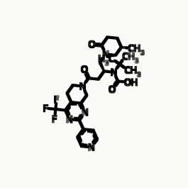 C[C@@H]1CCC(=O)N(C[C@H](CC(=O)N2CCc3c(nc(-c4ccncc4)nc3C(F)(F)F)C2)N(C(=O)O)C(C)(C)C)C1